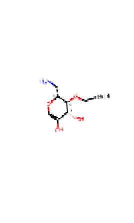 CCCCCCCCO[C@H]1[C@H](O)C(O)=CO[C@@H]1CN